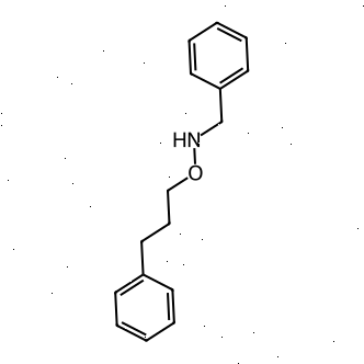 c1ccc(CCCONCc2ccccc2)cc1